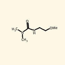 COCCNC(=O)N(C)C